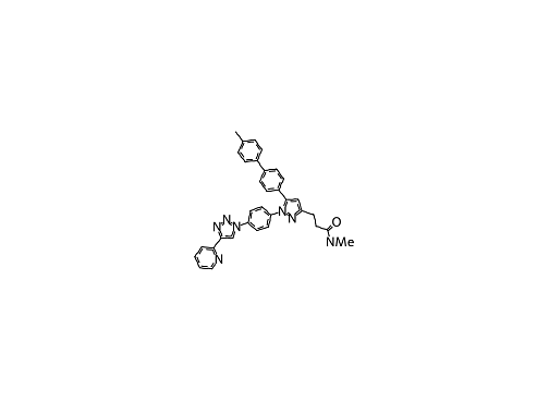 CNC(=O)CCc1cc(-c2ccc(-c3ccc(C)cc3)cc2)n(-c2ccc(-n3cc(-c4ccccn4)nn3)cc2)n1